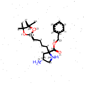 CC1(C)OB(CCCCC2(C(=O)OCc3ccccc3)C[C@@H](N)CN2)OC1(C)C